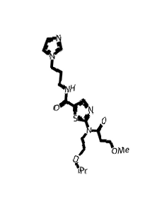 COCCC(=O)N(CCOC(C)C)c1ncc(C(=O)NCCCn2ccnc2)s1